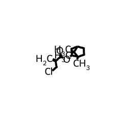 C=C(CCl)C(=O)OC1CC2CCC1(C)C2(C)C